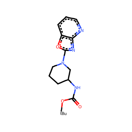 CC(C)(C)OC(=O)NC1CCCN(c2nc3ncccc3o2)C1